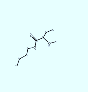 CCCCOC(=O)C(CC)OC